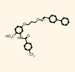 O=C(Nc1cc(OCCCO/N=C/c2ccc(-c3ccccc3)cc2)ccc1C(=O)O)c1ccc(C(F)(F)F)cc1